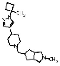 CN1CC2CC(CN3CCC(c4cnn(C5(C)CCC5)c4)CC3)CC2C1